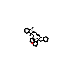 C=C(/C=C/C=C1/N(C)c2ccccc2C1(C)Cc1ccccc1)C(C)(Cc1ccccc1)c1ccccc1C